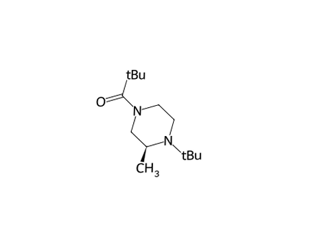 C[C@H]1CN(C(=O)C(C)(C)C)CCN1C(C)(C)C